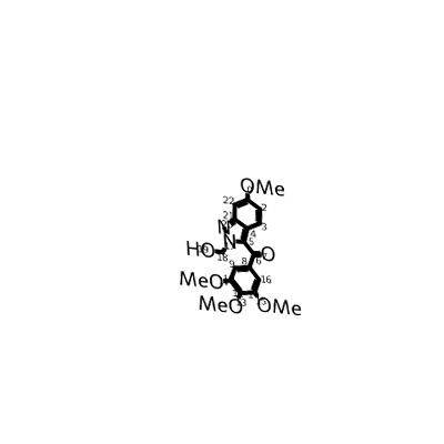 COc1ccc2c(C(=O)c3cc(OC)c(OC)c(OC)c3)n(CO)nc2c1